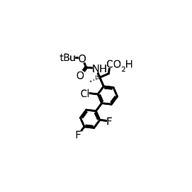 CC(C)(C)OC(=O)N[C@@](C)(CC(=O)O)c1cccc(-c2ccc(F)cc2F)c1Cl